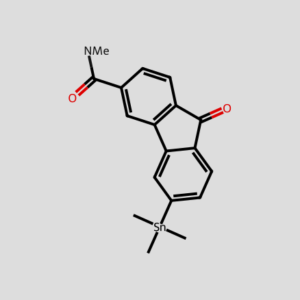 CNC(=O)c1ccc2c(c1)-c1c[c]([Sn]([CH3])([CH3])[CH3])ccc1C2=O